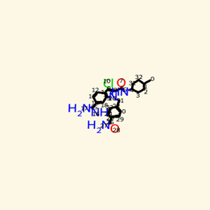 CC1CCC(NC(=O)c2c(Cl)c3ccc(C(=N)N)cc3n2Cc2ccc(C(N)=O)cc2)CC1